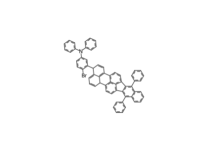 Brc1ccc(N(c2ccccc2)c2ccccc2)cc1C1C=CC2=C3C1=CC=CC3c1ccc3c4c(ccc2c14)-c1c-3c(-c2ccccc2)c2ccccc2c1-c1ccccc1